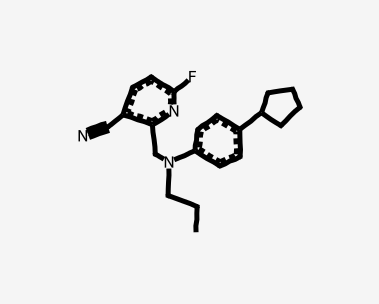 CCCN(Cc1nc(F)ccc1C#N)c1ccc(C2CCCC2)cc1